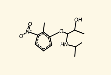 Cc1c(OC(NC(C)C)C(C)O)cccc1[N+](=O)[O-]